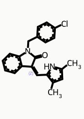 Cc1cc(C)c(/C=C2\C(=O)N(Cc3ccc(Cl)cc3)c3ccccc32)[nH]1